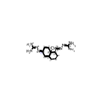 C[C@]12CC/C(=N\N=C(N)N)C=C1CCC[C@@H]2C=NN=C(N)N